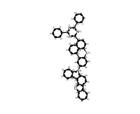 c1ccc(-c2nc(-c3ccccc3)nc(-c3ccc4c5c(cccc35)-c3cc(-n5c6ccccc6c6c7oc8ccccc8c7ccc65)ccc3S4)n2)cc1